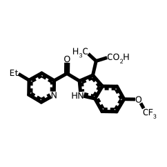 CCc1ccnc(C(=O)c2[nH]c3ccc(OC(F)(F)F)cc3c2C(C)C(=O)O)c1